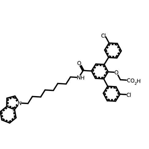 O=C(O)COc1c(-c2cccc(Cl)c2)cc(C(=O)NCCCCCCCCn2ccc3ccccc32)cc1-c1cccc(Cl)c1